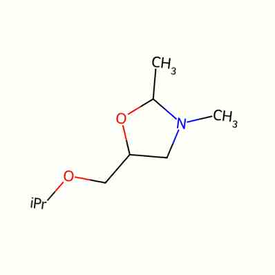 CC(C)OCC1CN(C)C(C)O1